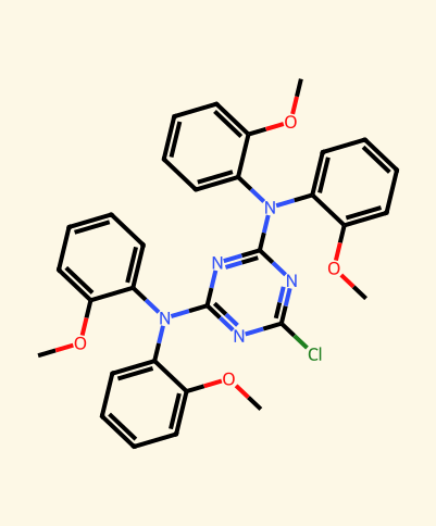 COc1ccccc1N(c1nc(Cl)nc(N(c2ccccc2OC)c2ccccc2OC)n1)c1ccccc1OC